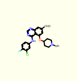 CCCN1CCC(Oc2cc(C=O)cc3ncnc(Nc4ccc(F)c(Cl)c4)c23)CC1